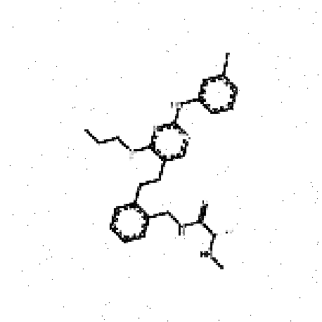 CCCNc1nc(Nc2cccc(F)c2)ncc1CCc1ccccc1CNC(=O)[C@H](C)NC